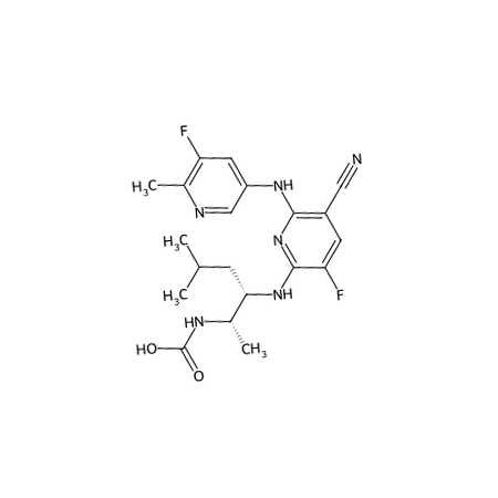 Cc1ncc(Nc2nc(N[C@@H](CC(C)C)[C@H](C)NC(=O)O)c(F)cc2C#N)cc1F